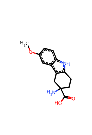 COc1ccc2[nH]c3c(c2c1)CC(N)(C(=O)O)CC3